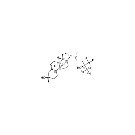 [2H]C([2H])([2H])[C@](O)(CC[C@@H](C)[C@H]1CC[C@H]2[C@@H]3CC=C4C[C@@](C)(O)CC[C@]4(C)[C@H]3CC[C@]12C)C(F)(F)F